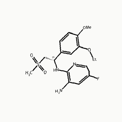 CCOc1cc([C@@H](CS(C)(=O)=O)Nc2ncc(F)cc2N)ccc1OC